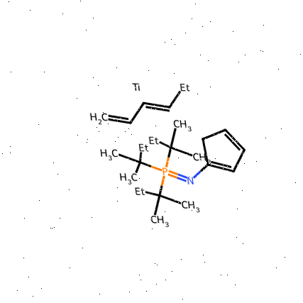 C=CC=CCC.CCC(C)(C)P(=NC1=CC=CC1)(C(C)(C)CC)C(C)(C)CC.[Ti]